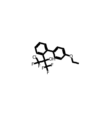 CCOc1ccc(-c2ccccc2C(O)(C(F)(F)F)C(F)(F)Cl)cc1